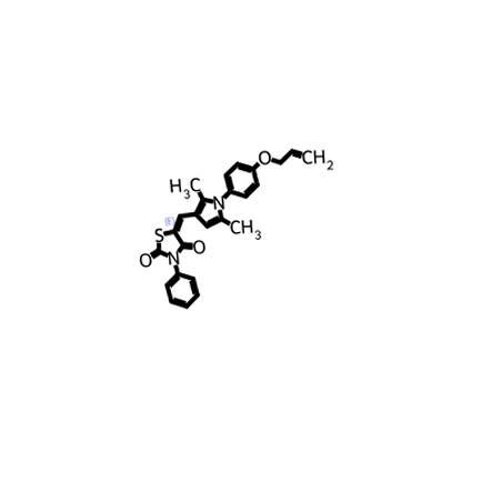 C=CCOc1ccc(-n2c(C)cc(/C=C3/SC(=O)N(c4ccccc4)C3=O)c2C)cc1